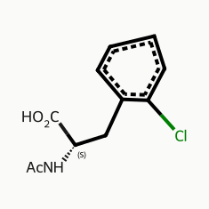 CC(=O)N[C@@H](Cc1ccccc1Cl)C(=O)O